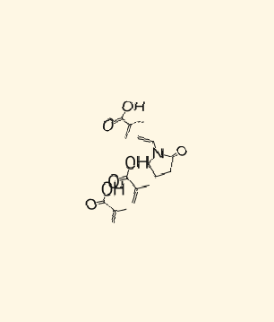 C=C(C)C(=O)O.C=C(C)C(=O)O.C=C(C)C(=O)O.C=CN1CCCC1=O